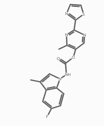 Cc1nc(-c2nccs2)ncc1OC(=O)Nn1cc(C)c2cc(F)ccc21